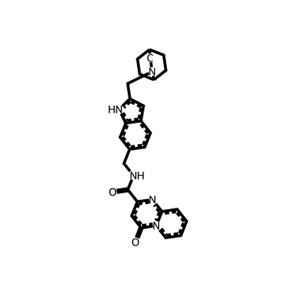 O=C(NCc1ccc2cc(CN3CC4CCC3CC4)[nH]c2c1)c1cc(=O)n2ccccc2n1